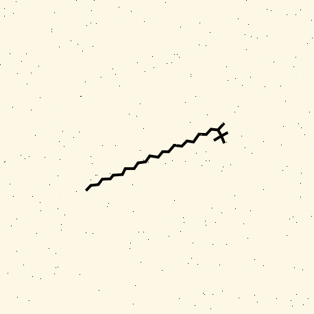 CCCCCCCCCCCCCCCCCCCCCCC(C)C(C)(C)C